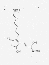 CCCCCC(O)C=CC1=C(CCCCCCC(=O)O)C(=O)CC1O